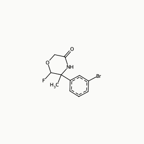 CC1(c2cccc(Br)c2)NC(=O)COC1F